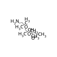 CC(C=O)CC(C)(C)OC(C)(C)COC(C)(C)CCN